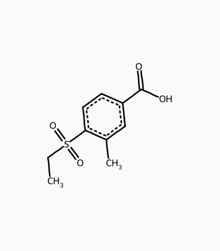 CCS(=O)(=O)c1ccc(C(=O)O)cc1C